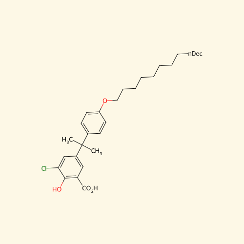 CCCCCCCCCCCCCCCCCCOc1ccc(C(C)(C)c2cc(Cl)c(O)c(C(=O)O)c2)cc1